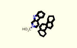 C1=c2ccc3c4c(ccc3c2=CCC1)CCCC4.O=C(O)n1ccc2c3ccccc3nc-2c1